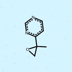 CC1(c2ccncn2)CO1